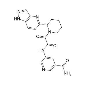 NC(=O)c1cncc(NC(=O)C(=O)N2CCCC[C@H]2c2ccc3[nH]ncc3n2)c1